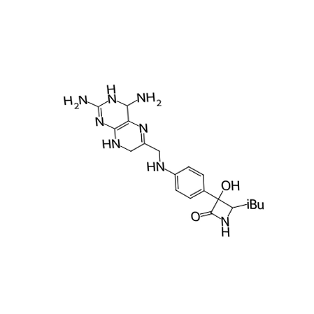 CCC(C)C1NC(=O)C1(O)c1ccc(NCC2=NC3=C(N=C(N)NC3N)NC2)cc1